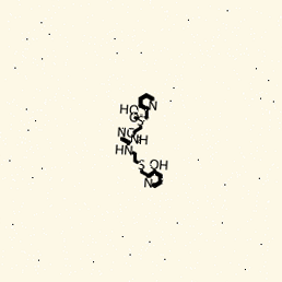 O=[N+]([O-])C=C(NCCSCc1ncccc1O)NCC[S+]([O-])Cc1ncccc1O